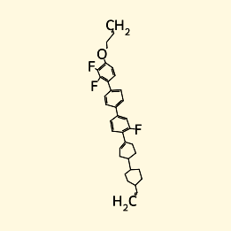 C=CCCOc1ccc(-c2ccc(-c3ccc(C4=CCC(C5CCC(C=C)CC5)CC4)c(F)c3)cc2)c(F)c1F